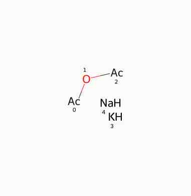 CC(=O)OC(C)=O.[KH].[NaH]